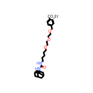 CCOC(=O)c1ccc(COCCOCCOCCCCCNC(=O)NC23CC4CC(CC(C4)C2)C3)cc1